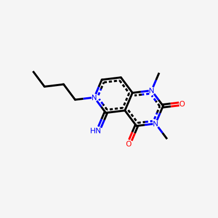 CCCCn1ccc2c(c1=N)c(=O)n(C)c(=O)n2C